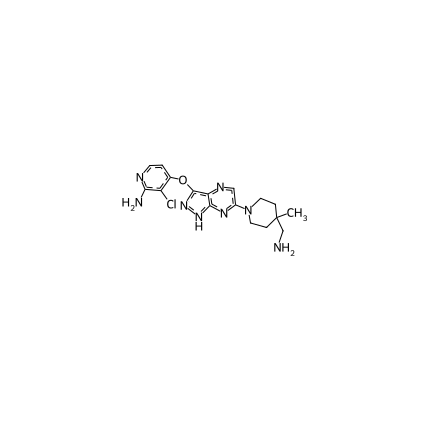 CC1(CN)CCN(c2cnc3c(Oc4ccnc(N)c4Cl)n[nH]c3n2)CC1